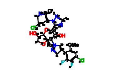 COc1cc(Cl)c(F)c(F)c1-c1cnn(C2[C@H]3OCC(O)C3O[C@@H](c3nc(C)nn3-c3cc(Cl)cnc3C(F)(F)F)[C@H]2O)c1